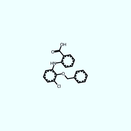 O=C(O)c1ccccc1Nc1cccc(Cl)c1OCc1ccccc1